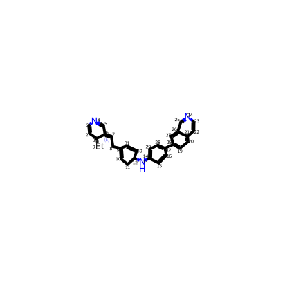 CCC1C=CN=C/C1=C/CC1=CCC(Nc2ccc(-c3ccc4ccncc4c3)cc2)C=C1